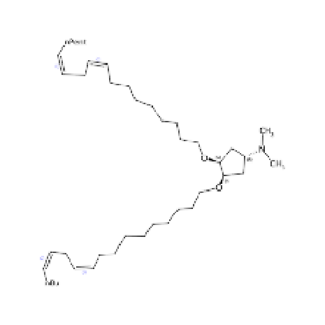 CCCC/C=C\C/C=C\CCCCCCCCCO[C@@H]1C[C@@H](N(C)C)C[C@@H]1OCCCCCCCC/C=C\C/C=C\CCCCC